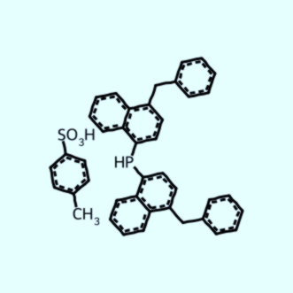 Cc1ccc(S(=O)(=O)O)cc1.c1ccc(Cc2ccc(Pc3ccc(Cc4ccccc4)c4ccccc34)c3ccccc23)cc1